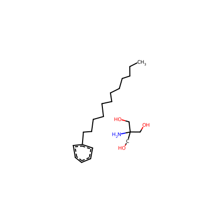 CCCCCCCCCCCCc1ccccc1.NC(CO)(CO)CO